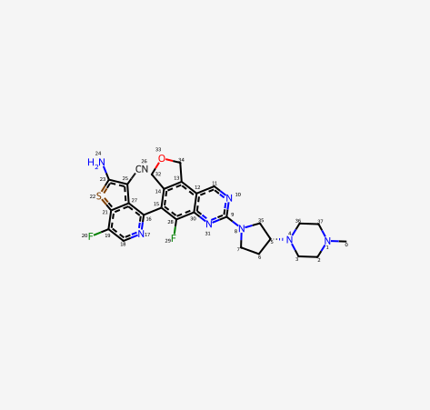 CN1CCN([C@@H]2CCN(c3ncc4c5c(c(-c6ncc(F)c7sc(N)c(C#N)c67)c(F)c4n3)COC5)C2)CC1